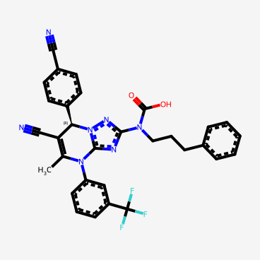 CC1=C(C#N)[C@@H](c2ccc(C#N)cc2)n2nc(N(CCCc3ccccc3)C(=O)O)nc2N1c1cccc(C(F)(F)F)c1